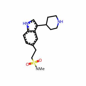 CNS(=O)(=O)CCc1ccc2[nH]cc(C3CCNCC3)c2c1